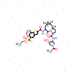 CCOP(=O)(OCC)C(F)(F)c1ccc2sc(C(=O)N[C@H]3C[C@@H]4C[C@@H]4C[C@H]4CC[C@@H](C(=O)N[C@H]5CN(C(C)=O)C[C@@H]5O)N4C3=O)cc2c1